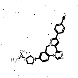 CN(C)[C@@H]1CCN(c2ccc3c(c2)Cn2cc(-c4ccc(C#N)cc4)cc2-c2nncn2-3)C1